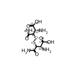 NC(=O)C(SSC(C(N)=O)[C@H](N)C(=O)O)[C@H](N)C(=O)O